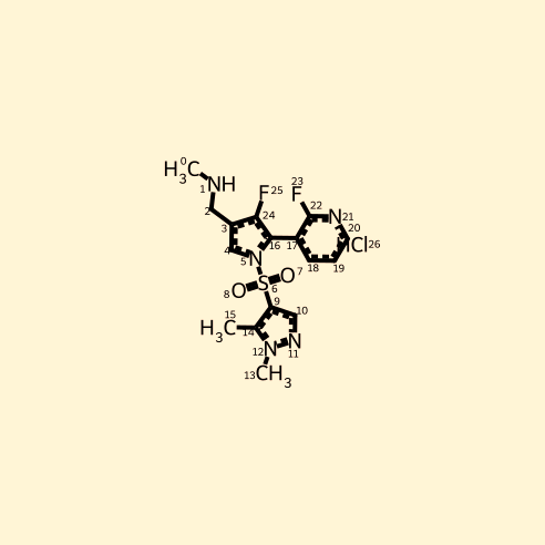 CNCc1cn(S(=O)(=O)c2cnn(C)c2C)c(-c2cccnc2F)c1F.Cl